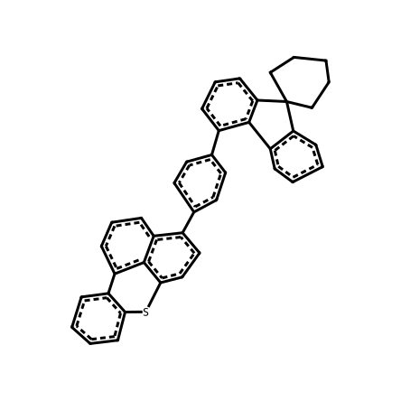 c1ccc2c(c1)Sc1ccc(-c3ccc(-c4cccc5c4-c4ccccc4C54CCCCC4)cc3)c3cccc-2c13